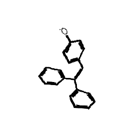 [O]c1ccc(C=C(c2ccccc2)c2ccccc2)cc1